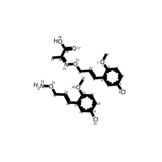 COc1ccc(Cl)cc1/C=C/CO/N=C(/C)C(=O)O.COc1ccc(Cl)cc1/C=C/CON